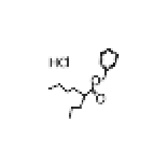 CCCCC(CCC)C(=O)OCc1ccccc1.Cl